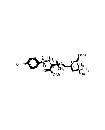 COCO[C@H](CSC(C)(C)[C@@H](NS(=O)(=O)c1ccc(OC)cc1)C(=O)OC)C[Si](C)(C)C(C)(C)C